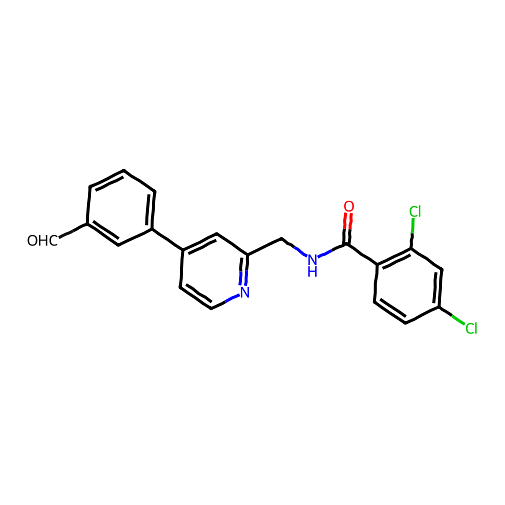 O=Cc1cccc(-c2ccnc(CNC(=O)c3ccc(Cl)cc3Cl)c2)c1